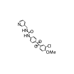 COc1ccc(S(=O)(=O)c2ccc(NC(=O)NCc3cccnc3)cc2)cc1Cl